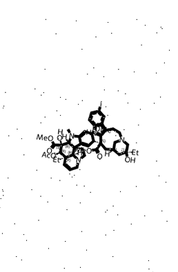 CC[C@]1(O)C[C@H]2CN(CCc3c([nH]c4ccc(I)cc34)[C@@](C(=O)OC)(C3C=C4C(=CC3OC)N(C)[C@H]3[C@@](O)(C(=O)OC)[C@H](OC(C)=O)[C@]5(CC)C=CCN6CC[C@]43[C@@H]65)C2)C1